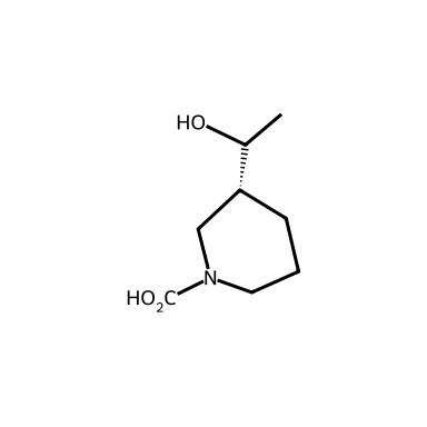 CC(O)[C@@H]1CCCN(C(=O)O)C1